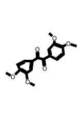 COc1ccc(C(=O)C(=O)c2ccc(OC)c(OC)c2)cc1OC